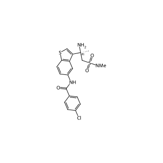 CNS(=O)(=O)C[C@](C)(N)c1csc2ccc(NC(=O)c3ccc(Cl)cc3)cc12